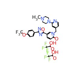 CN1CCN(c2cc(Cn3cc(-c4nc(-c5ccc(OC(F)(F)F)cc5)no4)ccc3=O)ccn2)CC1.O=C(O)C(F)(F)F.O=C(O)C(F)(F)F